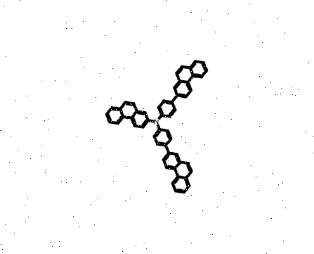 c1ccc2c(c1)ccc1cc(-c3ccc(N(c4ccc(-c5ccc6c(ccc7ccccc76)c5)cc4)c4ccc5c(ccc6ccccc65)c4)cc3)ccc12